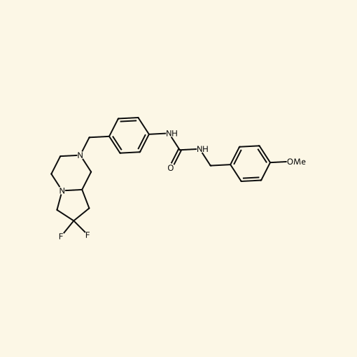 COc1ccc(CNC(=O)Nc2ccc(CN3CCN4CC(F)(F)CC4C3)cc2)cc1